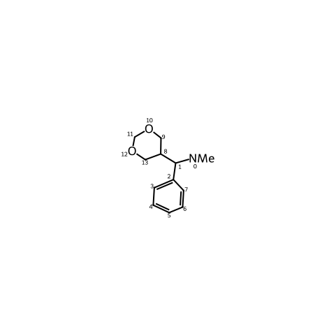 CNC(c1ccccc1)C1COCOC1